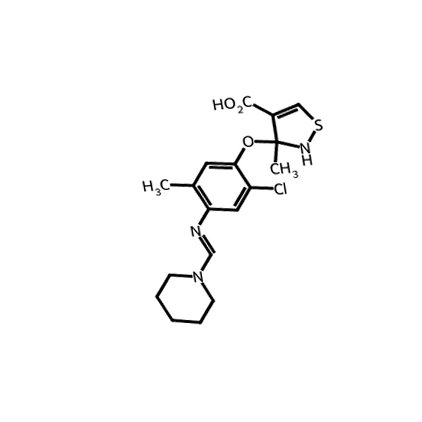 Cc1cc(OC2(C)NSC=C2C(=O)O)c(Cl)cc1/N=C/N1CCCCC1